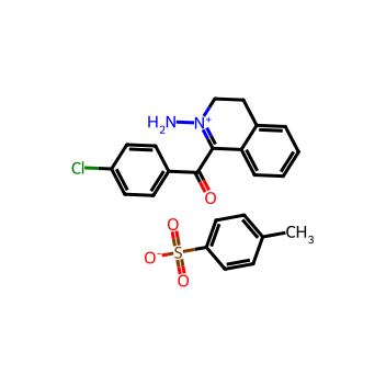 Cc1ccc(S(=O)(=O)[O-])cc1.N[N+]1=C(C(=O)c2ccc(Cl)cc2)c2ccccc2CC1